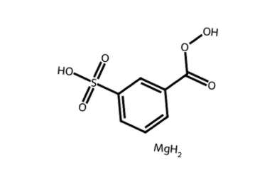 O=C(OO)c1cccc(S(=O)(=O)O)c1.[MgH2]